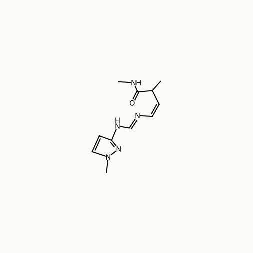 CNC(=O)C(C)/C=C\N=C\Nc1ccn(C)n1